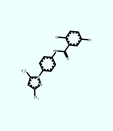 O=C(Nc1ccc(-n2nc(C(F)(F)F)cc2C(F)(F)F)cc1)c1cc(Cl)ccc1Cl